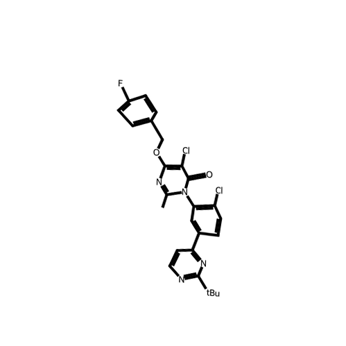 Cc1nc(OCc2ccc(F)cc2)c(Cl)c(=O)n1-c1cc(-c2ccnc(C(C)(C)C)n2)ccc1Cl